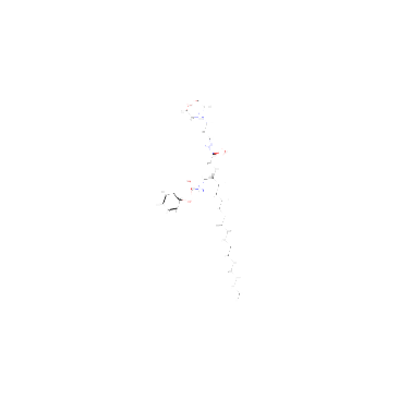 CCCCCCCCCCCCCCCCC(CCC(=O)NCCCN1CCOCC1)CNC(=O)Oc1ccccc1